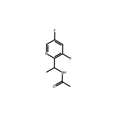 CC(=O)NC(C)c1ncc(F)cc1F